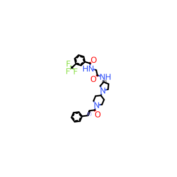 O=C(CNC(=O)c1cccc(C(F)(F)F)c1)N[C@@H]1CCN(C2CCN(C(=O)/C=C/c3ccccc3)CC2)C1